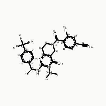 C[C@H](Nc1nc2c(c(=O)n1N(C)C)CN(C(=O)c1ccc(C#N)cc1F)CC2)c1ccc(C(F)(F)F)cc1